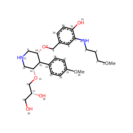 COCCCNc1cc(CO[C@H]2CNC[C@@H](OC[C@H](O)CO)C2c2ccc(OC)cc2)ccc1O